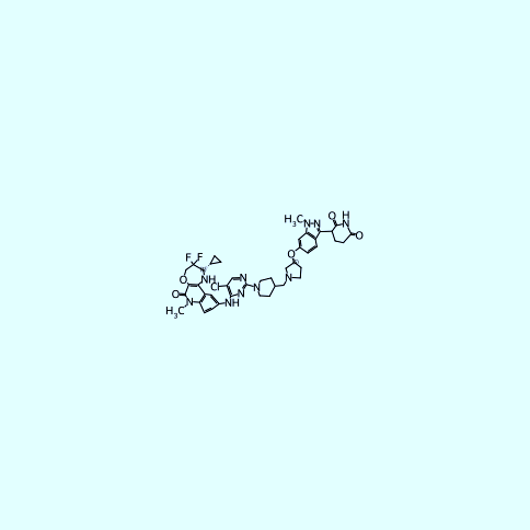 Cn1nc(C2CCC(=O)NC2=O)c2ccc(O[C@H]3CCN(CC4CCN(c5ncc(Cl)c(Nc6ccc7c(c6)c6c(c(=O)n7C)OCC(F)(F)[C@H](C7CC7)N6)n5)CC4)C3)cc21